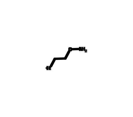 C[CH]CCON